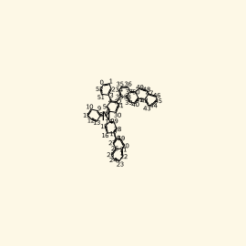 c1ccc(-c2cc(N(c3ccccc3)c3ccc(-c4ccc5ccccc5c4)cc3)ccc2-c2cccc3c2ccc2c4ccccc4ccc32)cc1